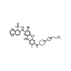 COCCN1CC(N2CCC(N(C)c3cc(OC)c(Nc4ncc(Br)c(Nc5ccc6nccnc6c5P(C)(C)=O)n4)cc3C)CC2)C1